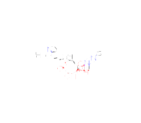 C/C(=C\C=C\[C@@H](C)c1ccccn1)[C@H]1OC(=O)C[C@H](O)CC[C@@](C)(O)[C@@H](OC(=O)N2CCN(C3CCC3)CC2)/C=C/[C@@H]1C